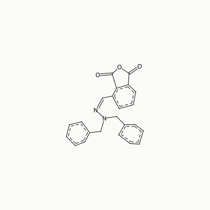 O=C1OC(=O)c2c(/C=N\N(Cc3ccccc3)Cc3ccccc3)cccc21